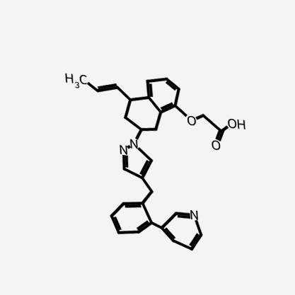 CC=CC1CC(n2cc(Cc3ccccc3-c3cccnc3)cn2)Cc2c(OCC(=O)O)cccc21